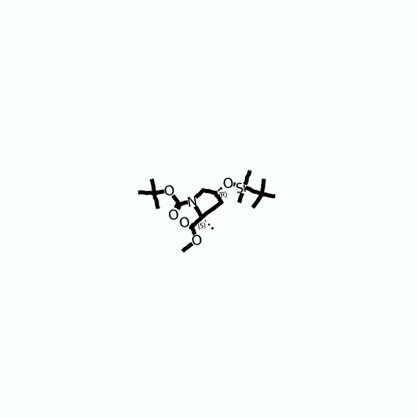 COC(=O)[C@]1(C)C[C@@H](O[Si](C)(C)C(C)(C)C)CN1C(=O)OC(C)(C)C